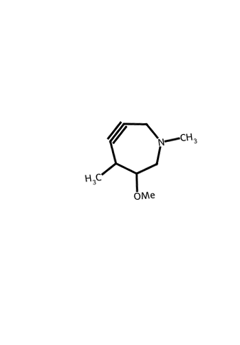 COC1CN(C)CC#CC1C